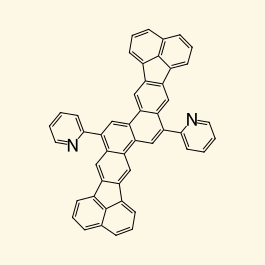 c1ccc(-c2cc3c4cc5c(cc4c(-c4ccccn4)cc3c3cc4c(cc23)-c2cccc3cccc-4c23)-c2cccc3cccc-5c23)nc1